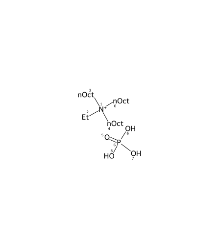 CCCCCCCC[N+](CC)(CCCCCCCC)CCCCCCCC.O=P(O)(O)O